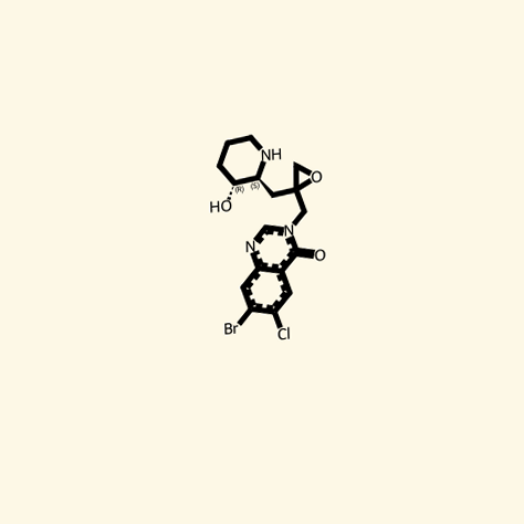 O=c1c2cc(Cl)c(Br)cc2ncn1CC1(C[C@@H]2NCCC[C@H]2O)CO1